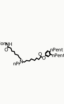 CCCCCCCCCNC(=O)CCCCCCCN(CCC)CCCCCCCC(=O)Oc1ccc(CCCCC)c(CCCCC)c1